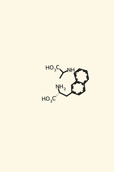 CC(N)C(=O)O.N[C@H](Cc1ccc2ccccc2c1)C(=O)O